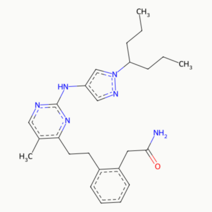 CCCC(CCC)n1cc(Nc2ncc(C)c(CCc3ccccc3CC(N)=O)n2)cn1